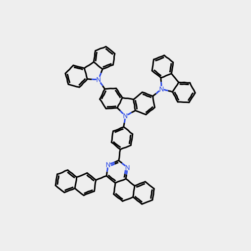 c1ccc2cc(-c3nc(-c4ccc(-n5c6ccc(-n7c8ccccc8c8ccccc87)cc6c6cc(-n7c8ccccc8c8ccccc87)ccc65)cc4)nc4c3ccc3ccccc34)ccc2c1